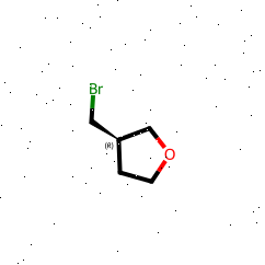 BrC[C@@H]1CCOC1